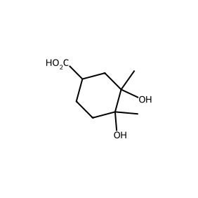 CC1(O)CCC(C(=O)O)CC1(C)O